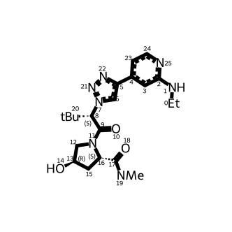 CCNc1cc(-c2cn([C@H](C(=O)N3C[C@H](O)C[C@H]3C(=O)NC)C(C)(C)C)nn2)ccn1